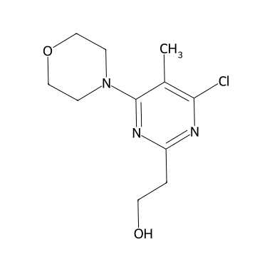 Cc1c(Cl)nc(CCO)nc1N1CCOCC1